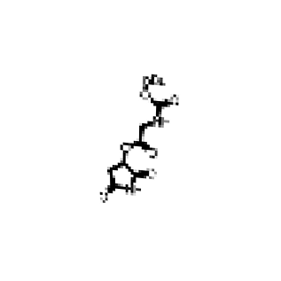 CCCCOC(=O)NCC(=O)OC1CC(=O)NC1=O